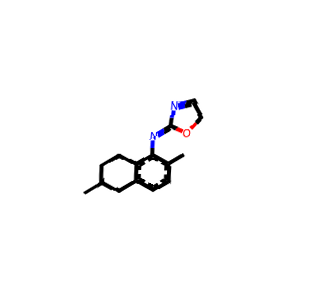 Cc1ccc2c(c1N=C1N=CCO1)CCC(C)C2